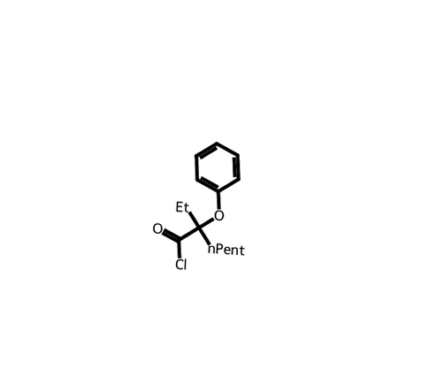 CCCCCC(CC)(Oc1ccccc1)C(=O)Cl